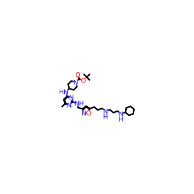 Cc1cc(NC2CCN(C(=O)OC(C)(C)C)CC2)nc(NCc2cc(CCCNCCCNC3CCCCC3)on2)n1